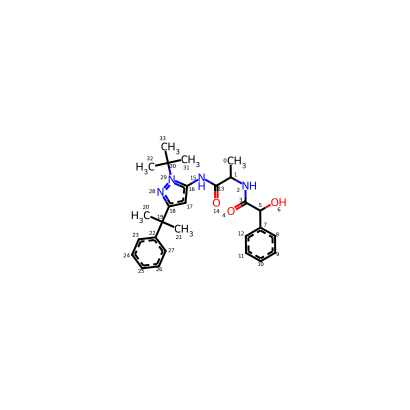 CC(NC(=O)C(O)c1ccccc1)C(=O)Nc1cc(C(C)(C)c2ccccc2)nn1C(C)(C)C